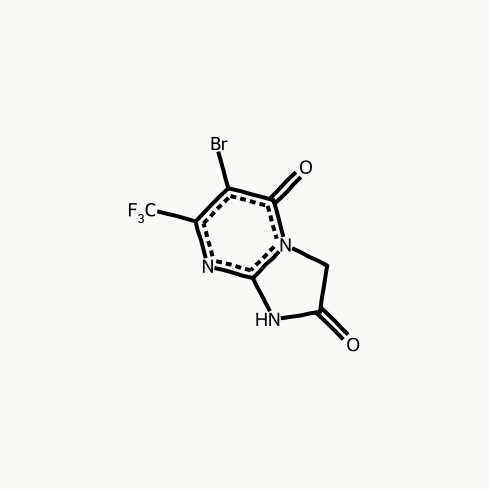 O=C1Cn2c(nc(C(F)(F)F)c(Br)c2=O)N1